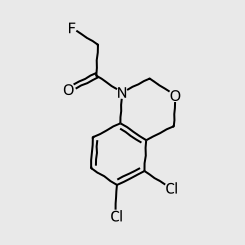 O=C(CF)N1COCc2c1ccc(Cl)c2Cl